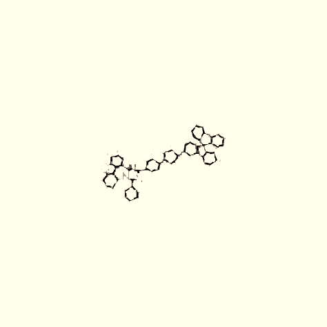 c1ccc(-c2nc(-c3ccc(-c4ccc(-c5ccc6c(c5)-c5ccccc5C65c6ccccc6-c6ccccc65)cc4)cc3)nc(-c3cccc4oc5ccccc5c34)n2)cc1